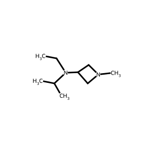 CCN(C(C)C)C1CN(C)C1